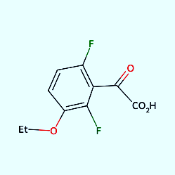 CCOc1ccc(F)c(C(=O)C(=O)O)c1F